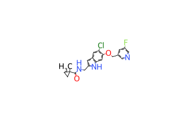 CC1(C(=O)NCc2cc3cc(Cl)c(OCc4cncc(F)c4)cc3[nH]2)CC1